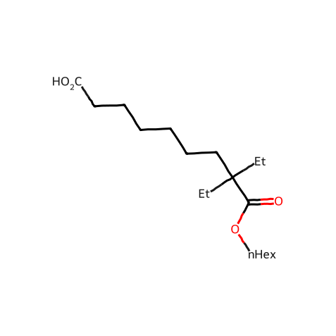 CCCCCCOC(=O)C(CC)(CC)CCCCCCC(=O)O